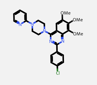 COc1cc2c(N3CCN(c4ccccn4)CC3)nc(-c3ccc(Cl)cc3)nc2c(OC)c1OC